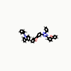 c1ccc(-c2nc(-c3ccc4c(c3)oc3ccc(-c5ccc6c(c5)c5ccccc5n6-c5ccccc5)cc34)nc(-c3cccc4c3oc3ccccc34)n2)cc1